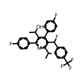 CC(C)c1nc(-c2ccc(F)cc2)c(C(C)O)c(-c2ccc(F)cc2)c1C(F)c1ccc(C(F)(F)F)cc1